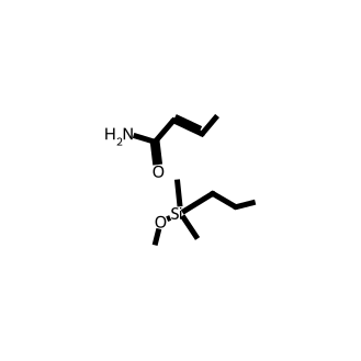 CC=CC(N)=O.CCC[Si](C)(C)OC